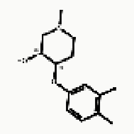 Cc1ccc(O[C@@H]2CCN(C)C[C@@H]2O)cc1C